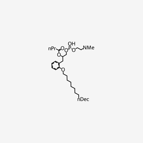 CCCCCCCCCCCCCCCCCCOc1ccccc1CC(COP(O)OCCNC)OC(=O)CCC